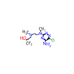 CN(CCN(C)c1nnc(Cl)c(N)n1)C[C@@H](O)C(F)(F)F